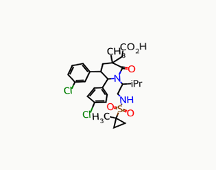 CC(C)C(CNS(=O)(=O)C1(C)CC1)N1C(=O)C(C)(CC(=O)O)CC(c2cccc(Cl)c2)C1c1ccc(Cl)cc1